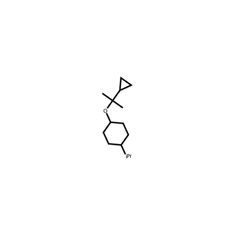 CC(C)C1CCC(OC(C)(C)C2CC2)CC1